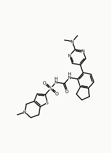 CN1CCc2sc(S(=O)(=O)NC(=O)Nc3c(-c4cnc(N(C)C)nc4)ccc4c3CCC4)cc2C1